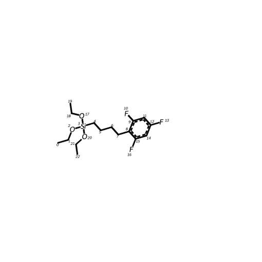 CCO[Si](CCCCc1c(F)cc(F)cc1F)(OCC)OCC